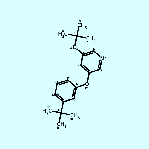 CC(C)(C)Oc1cncc(Oc2cccc(C(C)(C)C)c2)c1